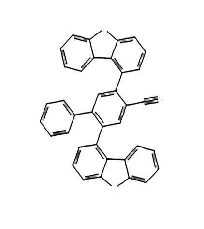 N#Cc1cc(-c2cccc3sc4ccccc4c23)c(-c2ccccc2)cc1-c1cccc2sc3ccccc3c12